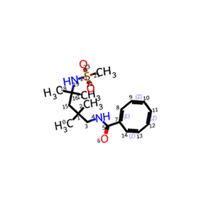 CC(C)(CNC(=O)C1=C/C=C\C=C/C=C\1)CC(C)(C)NS(C)(=O)=O